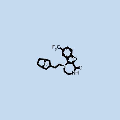 O=C1NCCN(CCC2CC3CCC(C2)O3)c2c1oc1ccc(C(F)(F)F)cc21